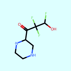 O=C(C1CNCC[N]1)C(F)(F)C(O)F